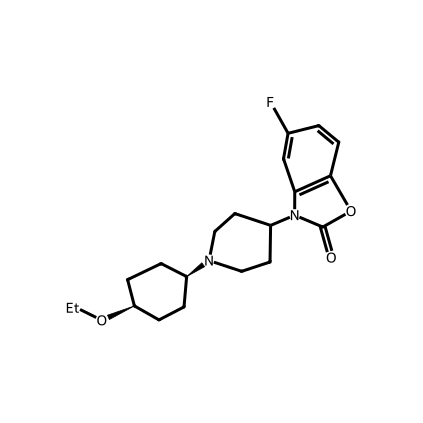 CCO[C@H]1CC[C@@H](N2CCC(n3c(=O)oc4ccc(F)cc43)CC2)CC1